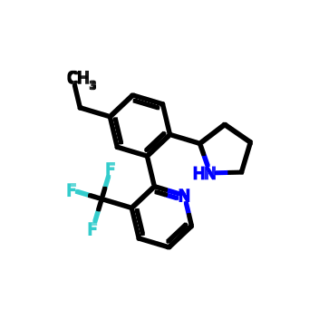 CCc1ccc(C2CCCN2)c(-c2ncccc2C(F)(F)F)c1